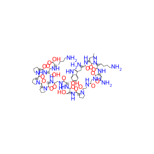 CC(C)C[C@H](NC(=O)[C@@H](N)Cc1c[nH]c2ccccc12)C(=O)N[C@@H](CCCCN)C(=O)N[C@@H](CC(N)=O)C(=O)NCC(=O)NCC(=O)N1CCC[C@H]1C(=O)N[C@@H](CO)C(=O)N[C@@H](CO)C(=O)NCC(=O)N[C@@H](C)C(=O)N1CCC[C@H]1C(=O)N1CCC[C@H]1C(=O)N1CCC[C@H]1C(=O)N[C@@H](CO)C(=O)N[C@@H](CCCCN)C(=O)O